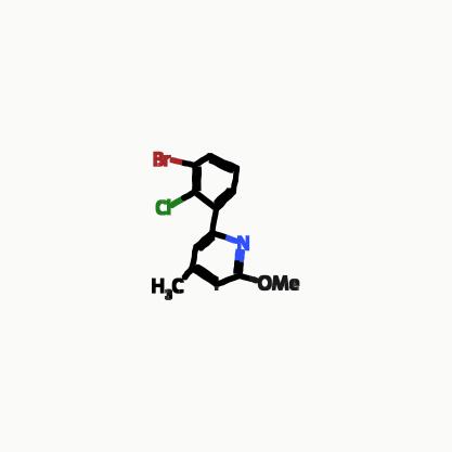 COc1[c]c(C)cc(-c2cccc(Br)c2Cl)n1